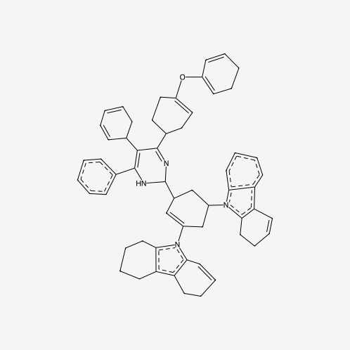 C1=CCC(C2=C(c3ccccc3)NC(C3C=C(n4c5c(c6c4CCCC6)CCC=C5)CC(n4c5c(c6ccccc64)C=CCC5)C3)N=C2C2CC=C(OC3=CCCC=C3)CC2)C=C1